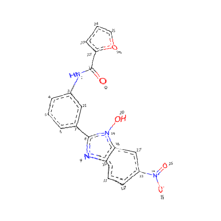 O=C(Nc1cccc(-c2nc3ccc([N+](=O)[O-])cc3n2O)c1)c1ccco1